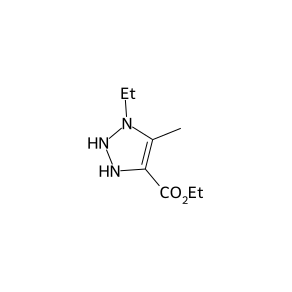 CCOC(=O)C1=C(C)N(CC)NN1